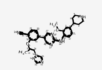 COc1cc(C2CCNCC2)ccc1Nc1ncc(-c2ccc(C#N)c(OC(C)Cn3cncn3)c2)cn1